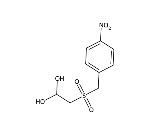 O=[N+]([O-])c1ccc(CS(=O)(=O)CC(O)O)cc1